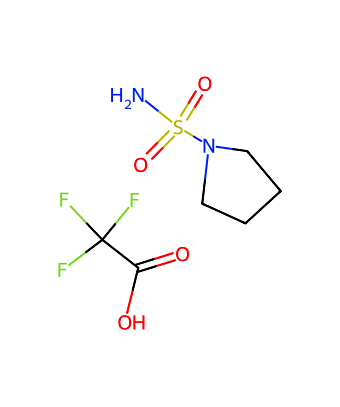 NS(=O)(=O)N1CCCC1.O=C(O)C(F)(F)F